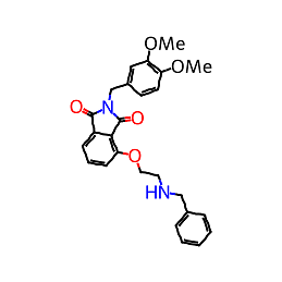 COc1ccc(CN2C(=O)c3cccc(OCCNCc4ccccc4)c3C2=O)cc1OC